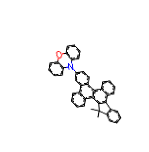 CC1(C)c2ccccc2-c2c1c1c3ccccc3c3cc(N4c5ccccc5Oc5ccccc54)ccc3c1c1ccccc21